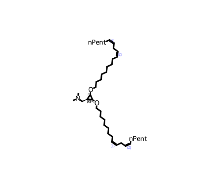 CCCCC/C=C\C/C=C\CCCCCCCCO[C@@H]1[C@H](CN(C)C)[C@@H]1OCCCCCCCC/C=C\C/C=C\CCCCC